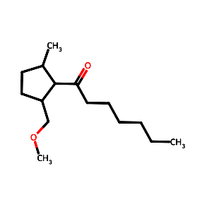 CCCCCCC(=O)C1C(C)CCC1COC